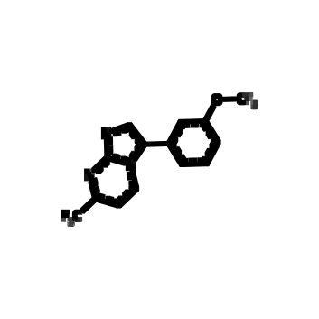 FC(F)(F)Oc1cccc(-c2cnc3nc(C(F)(F)F)ccn23)c1